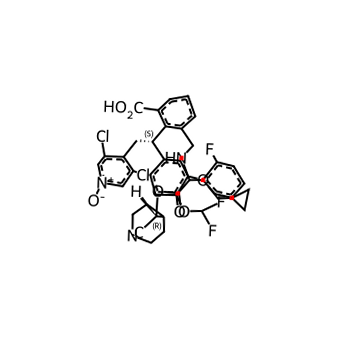 O=C(O)c1cccc(CNC(C(=O)O[C@H]2CN3CCC2CC3)c2ccccc2F)c1[C@@H](Cc1c(Cl)c[n+]([O-])cc1Cl)c1ccc(OC(F)F)c(OCC2CC2)c1